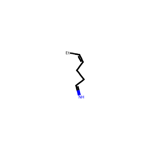 CC/C=C\CCC=N